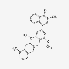 COc1cc(-c2cn(C)c(=O)c3ccccc23)cc(OC)c1CN1CCc2c(C)cccc2C1